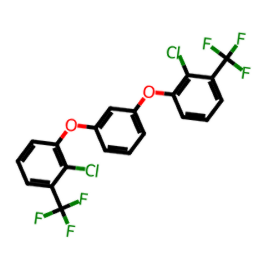 FC(F)(F)c1cccc(Oc2cccc(Oc3cccc(C(F)(F)F)c3Cl)c2)c1Cl